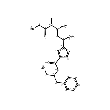 CC[C@H](C)CC(=O)N(C)[C@H](C[C@@H](OC(C)=O)c1nc(C(=O)NC(CO)Cc2ccccc2)cs1)C(C)C